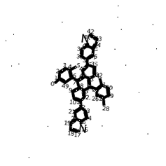 Cc1ccc(C)c(-c2c3ccc(-c4ccc5ncccc5c4)cc3c(-c3cc(C)ccc3C)c3ccc(-c4ccc5ncccc5c4)cc23)c1